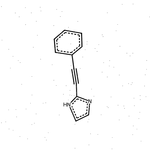 C(#Cc1ncc[nH]1)c1ccccc1